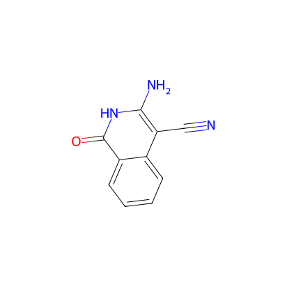 N#Cc1c(N)[nH]c(=O)c2ccccc12